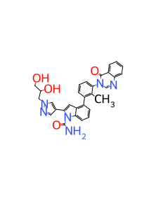 Cc1c(-c2cccc3c2cc(-c2cnn(CC(O)CO)c2)n3C(N)=O)cccc1-n1cnc2ccccc2c1=O